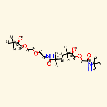 CC(C)(C)NC(=O)COCC(=O)C(C)(C)CCC(C)(C)C(=O)NCCOCCOCC(=O)C(C)(C)C